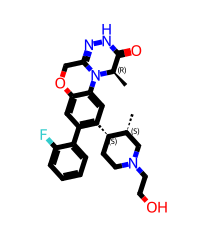 C[C@@H]1CN(CCO)CC[C@@H]1c1cc2c(cc1-c1ccccc1F)OCC1=NNC(=O)[C@@H](C)N12